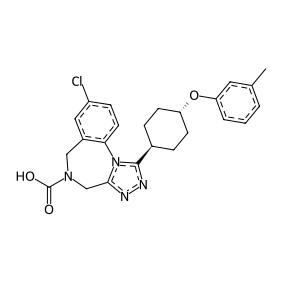 Cc1cccc(O[C@H]2CC[C@H](c3nnc4n3-c3ccc(Cl)cc3CN(C(=O)O)C4)CC2)c1